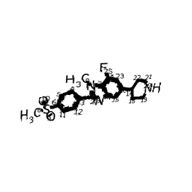 Cn1c(-c2ccc(S(C)(=O)=O)cc2)nc2cc(C3CCNCC3)cc(F)c21